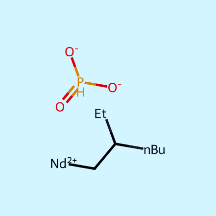 CCCCC(CC)[CH2][Nd+2].O=[PH]([O-])[O-]